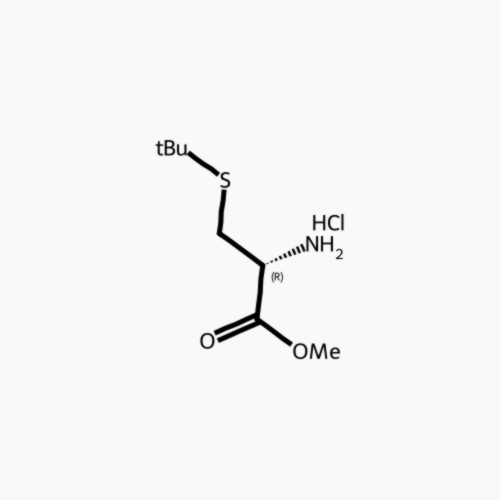 COC(=O)[C@@H](N)CSC(C)(C)C.Cl